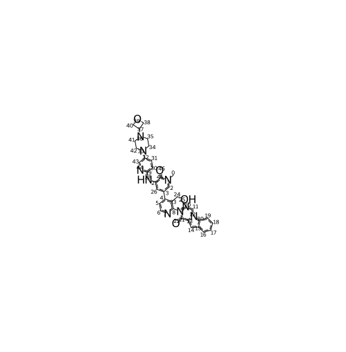 Cn1cc(-c2ccnc(-n3ncn4c(cc5ccccc54)c3=O)c2CO)cc(Nc2ccc(N3CCN(C4COC4)CC3)cn2)c1=O